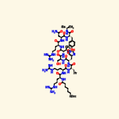 CCCCCCCCCCCCCCCC(=O)N[C@@H](CCCNC(=N)N)C(=O)N[C@@H](CCCNC(=N)N)C(=O)N[C@@H](CC(C)C)C(=O)N[C@@H](Cc1c[nH]cn1)C(=O)N[C@@H](CO)C(=O)N[C@H](C(=O)N[C@@H](CCCNC(=N)N)C(=O)N[C@@H](CC(N)=O)C(=O)N[C@@H](Cc1ccc(O)cc1)C(=O)N[C@H](C)[C@@H](C)CC)[C@@H](C)O